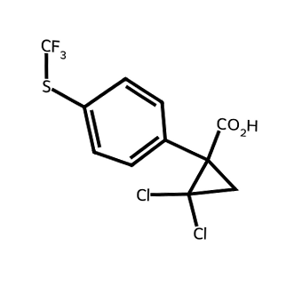 O=C(O)C1(c2ccc(SC(F)(F)F)cc2)CC1(Cl)Cl